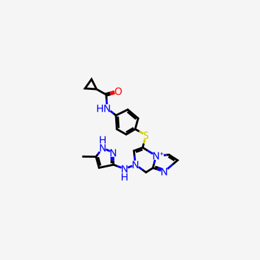 Cc1cc(NN2C=C(Sc3ccc(NC(=O)C4CC4)cc3)[N+]3C=CN=C3C2)n[nH]1